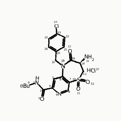 CCCCNC(=O)c1cc2c(cn1)S(=O)(=O)C[C@H](N)C(=O)N2Cc1ccc(Cl)cc1.Cl